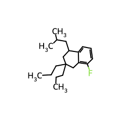 CCCC1(CCC)Cc2c(F)cccc2C(CC(C)C)C1